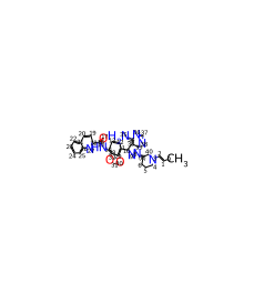 CC=CN1CCC[C@@H](n2nc(-c3ccc(NC(=O)c4ccc5ccccc5n4)c4c3OCO4)c3c(N)ncnc32)C1